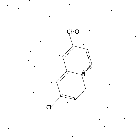 O=CC1=CC2=CC(Cl)=CCC23C=NC=CC3=C1